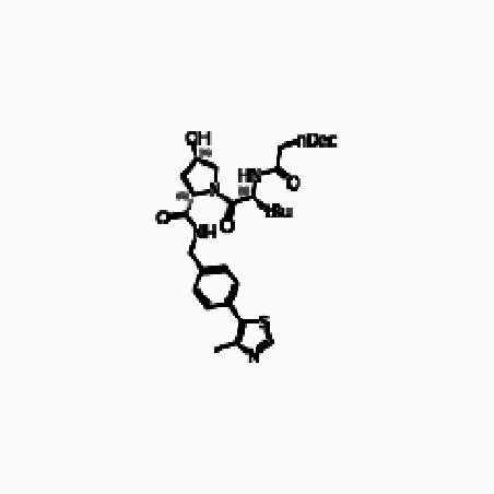 CCCCCCCCCCCC(=O)N[C@H](C(=O)N1C[C@H](O)C[C@H]1C(=O)NCc1ccc(-c2scnc2C)cc1)C(C)(C)C